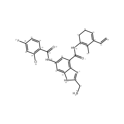 BCc1nc2c(C(=O)NC3=C(C)C(C=C)=CCC3)cc(NC(=O)c3ccc(F)cc3Cl)cc2[nH]1